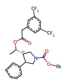 CC(OC(=O)Cc1cc(C(F)(F)F)cc(C(F)(F)F)c1)[C@@H]1CN(C(=O)OC(C)(C)C)CC1c1ccccc1